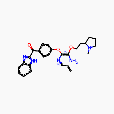 C=C/C=N\C(Oc1ccc(C(=O)c2nc3ccccc3[nH]2)cc1)=C(/N)OCCC1CCCN1C